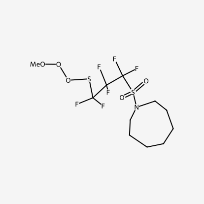 COOOSC(F)(F)C(F)(F)C(F)(F)S(=O)(=O)N1CCCCCCC1